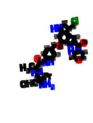 CC(C)[C@@](N)(C=O)CN[C@@H](C)C(=O)Nc1ccc(COc2cc3c(c4cc(C(=O)N5CCOCC5)[nH]c24)[C@H](CCl)CN3)cc1